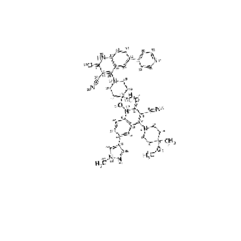 COC1(C)CCN(c2c(C#N)c(=O)n(OC3(C)CCN(c4c(C#N)c(=O)[nH]c5ccc(-c6ccncc6)cc45)CC3)c3ccc(-c4cnn(C)c4)cc23)CC1